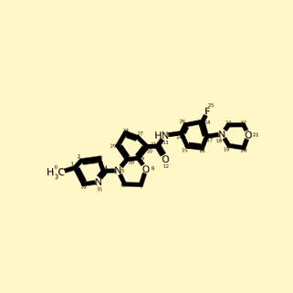 Cc1ccc(N2CCOc3c(C(=O)Nc4ccc(N5CCOCC5)c(F)c4)cccc32)nc1